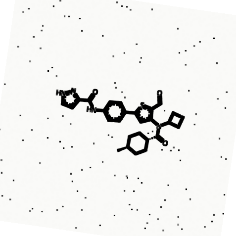 C[C@H]1CC[C@H](C(=O)N(c2cc(-c3ccc(NC(=O)c4cc[nH]n4)cc3)sc2C=O)C2CCC2)CC1